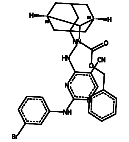 N#Cc1cnc(Nc2cccc(Br)c2)nc1NCC12CC3C[C@H](C1)C(NC(=O)OCc1ccccc1)[C@@H](C3)C2